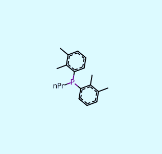 CCCP(c1cccc(C)c1C)c1cccc(C)c1C